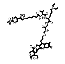 CCN(CC)CCCC[C@H](NC(=O)[C@@H](NC(=O)CCCCCn1cc(-c2cnc(S(C)(=O)=O)nc2)nn1)C(C)C)C(=O)NCC(=O)NCOCCCc1c2c(nc3cc(F)c(C)cc13)-c1cc3c(c(=O)n1C2)COC(=O)[C@]3(O)CC